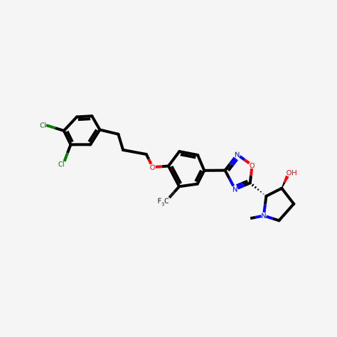 CN1CC[C@H](O)[C@H]1c1nc(-c2ccc(OCCCc3ccc(Cl)c(Cl)c3)c(C(F)(F)F)c2)no1